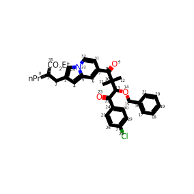 CCCC(Cc1cc2cc(C(=O)C(C)(C)C(OCc3ccccc3)C(=O)c3ccc(Cl)cc3)ccn2c1)C(=O)OCC